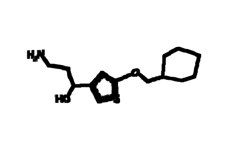 NCCC(O)c1csc(OCC2CCCCC2)c1